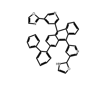 C1=COC(c2cncc(-c3c4ccccc4c(-c4cncc(-c5ncco5)c4)c4ccc(-c5ccccc5-c5ccccc5)cc34)c2)N1